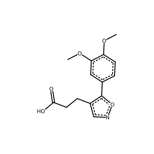 COc1ccc(-c2oncc2CCC(=O)O)cc1OC